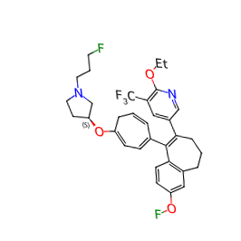 CCOc1ncc(C2=C(C3=CC=C(O[C@H]4CCN(CCCF)C4)CC=C3)c3ccc(OF)cc3CCC2)cc1C(F)(F)F